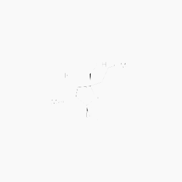 B[C@@H]1O[C@@](CO)([C@@H](C)COC)[C@@H](O)[C@H]1OC